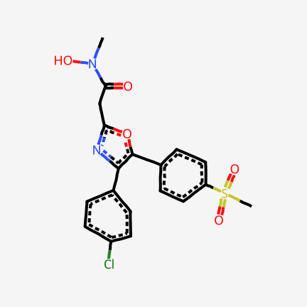 CN(O)C(=O)Cc1nc(-c2ccc(Cl)cc2)c(-c2ccc(S(C)(=O)=O)cc2)o1